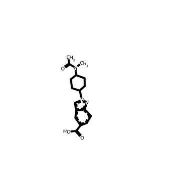 CC(=O)N(C)C1CCC(n2cc3cc(C(=O)O)ccc3n2)CC1